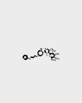 CS[C@H]1O[C@H]([C@H](NC(=O)[C@@H]2CC[C@H](CCCCOc3cccnc3)CCN2)[C@H](C)Cl)[C@H](O)[C@H](O)[C@H]1OC(C)=O